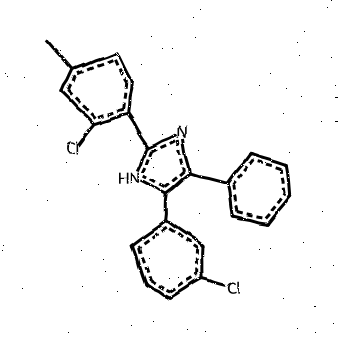 Cc1ccc(-c2nc(-c3ccccc3)c(-c3cccc(Cl)c3)[nH]2)c(Cl)c1